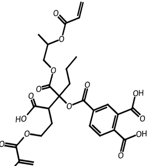 C=CC(=O)OC(C)COC(=O)C(CCC)(OC(=O)c1ccc(C(=O)O)c(C(=O)O)c1)C(CCOC(=O)C(=C)C)C(=O)O